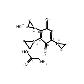 Cl.NCC(=O)O.O=C1C=C(N2CC2)C(=O)C(N2CC2)=C1N1CC1